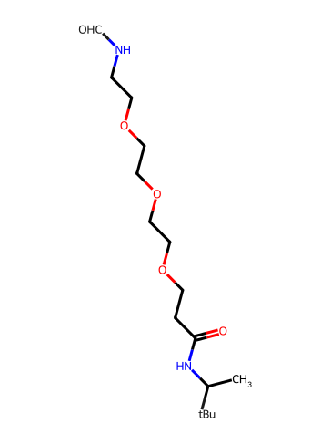 CC(NC(=O)CCOCCOCCOCCNC=O)C(C)(C)C